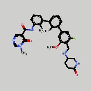 COc1cc(-c2cccc(-c3cccc(NC(=O)c4cncn(C)c4=O)c3C)c2C)cc(F)c1CNC1CCC(=O)NC1